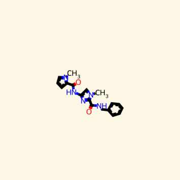 Cn1cccc1C(=O)Nc1cn(C)c(C(=O)NCc2ccccc2)n1